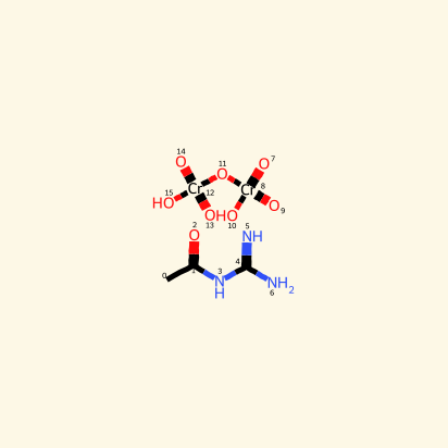 CC(=O)NC(=N)N.[O]=[Cr](=[O])([OH])[O][Cr](=[O])(=[O])[OH]